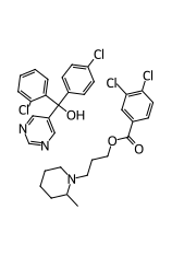 CC1CCCCN1CCCOC(=O)c1ccc(Cl)c(Cl)c1.OC(c1ccc(Cl)cc1)(c1cncnc1)c1ccccc1Cl